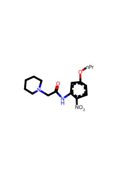 CCCOc1ccc([N+](=O)[O-])c(NC(=O)CN2CCCCC2)c1